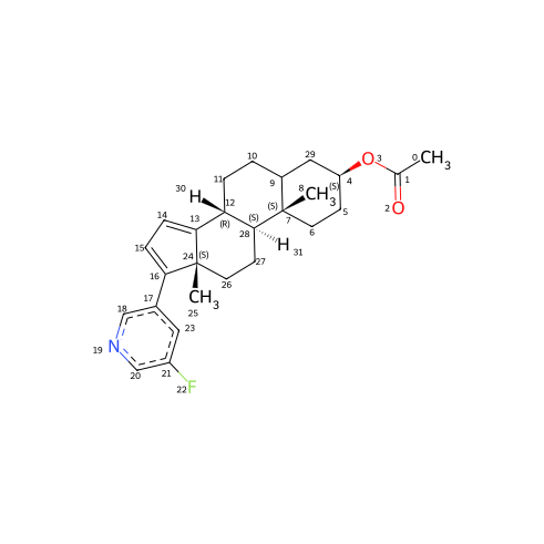 CC(=O)O[C@H]1CC[C@@]2(C)C(CC[C@H]3C4=CC=C(c5cncc(F)c5)[C@@]4(C)CC[C@@H]32)C1